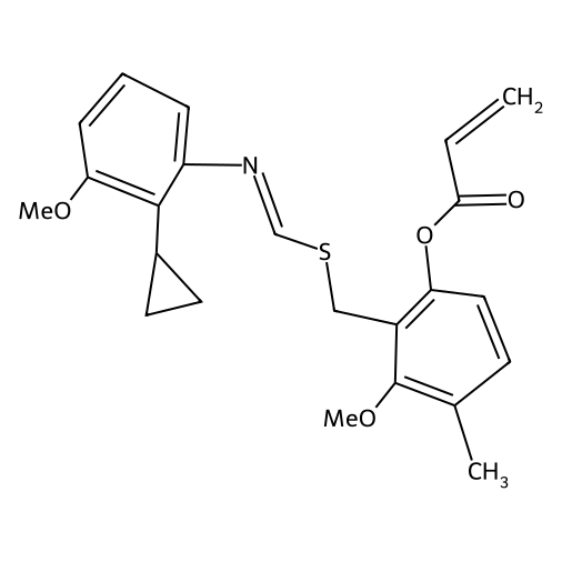 C=CC(=O)Oc1ccc(C)c(OC)c1CSC=Nc1cccc(OC)c1C1CC1